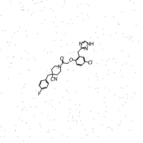 N#CC1(Cc2ccc(F)cc2)CCN(C(=O)COc2ccc(Cl)cc2Cc2nc[nH]n2)CC1